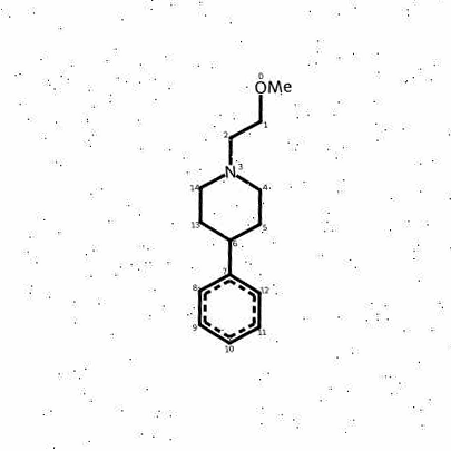 COCCN1CCC(c2ccccc2)CC1